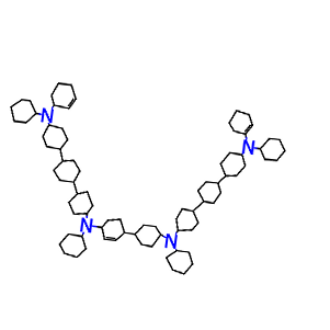 C1=CC(N(C2CCCCC2)C2CCC(C3CCC(C4CCC(N(C5C=CC(C6CCC(N(C7CCCCC7)C7CCC(C8CCC(C9CCC(N(C%10=CCCCC%10)C%10CCCCC%10)CC9)CC8)CC7)CC6)CC5)C5CCCCC5)CC4)CC3)CC2)CCC1